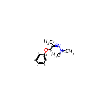 C/C(COc1ccccc1)=N/N(C)C